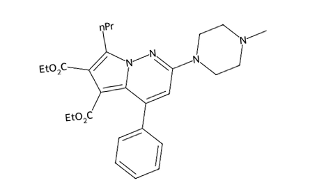 CCCc1c(C(=O)OCC)c(C(=O)OCC)c2c(-c3ccccc3)cc(N3CCN(C)CC3)nn12